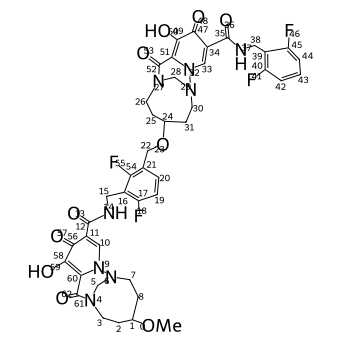 COC1CCN2CN(CC1)n1cc(C(=O)NCc3c(F)ccc(COC4CCN5CN(CC4)n4cc(C(=O)NCc6c(F)cccc6F)c(=O)c(O)c4C5=O)c3F)c(=O)c(O)c1C2=O